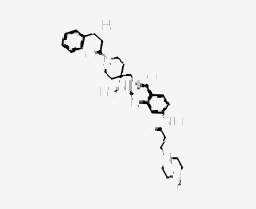 C[C@H](CC(=O)N1CCC(Cn2cnc3cc(NC(=O)CCN4CCN(C)CC4)ccc3c2=O)(NS)CC1)c1ccccc1